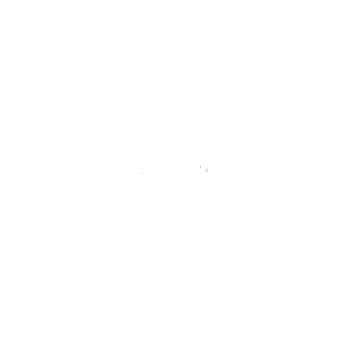 C/C=C\N(C)C1CC(C)C(C)C1